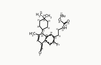 CC1=CC(=C=O)c2cc(F)c(CCNC(=O)OC(C)(C)C)cc2N1C1CCC(C)(C)CC1